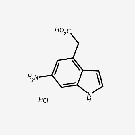 Cl.Nc1cc(CC(=O)O)c2cc[nH]c2c1